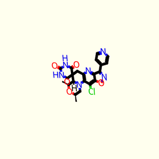 C[C@@H]1CN2c3c(nc4c(-c5ccncc5)noc4c3Cl)CC3(C(=O)NC(=O)NC3=O)[C@H]2[C@H](C)O1